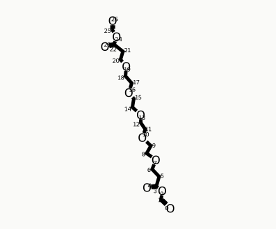 O=COC(=O)CCOCCOCCOCCOCCOCCC(=O)OC=O